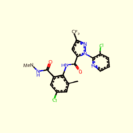 CNNC(=O)c1cc(Cl)cc(C)c1NC(=O)c1cc(C(F)(F)F)nn1-c1ncccc1Cl